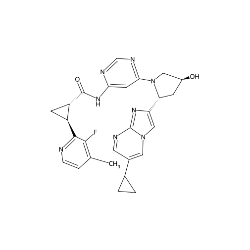 Cc1ccnc([C@H]2C[C@@H]2C(=O)Nc2cc(N3C[C@@H](O)C[C@@H]3c3cn4cc(C5CC5)cnc4n3)ncn2)c1F